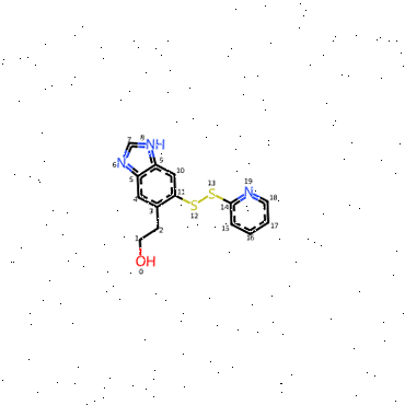 OCCc1cc2nc[nH]c2cc1SSc1ccccn1